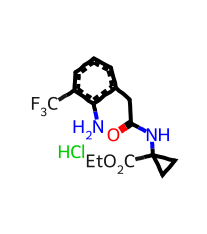 CCOC(=O)C1(NC(=O)Cc2cccc(C(F)(F)F)c2N)CC1.Cl